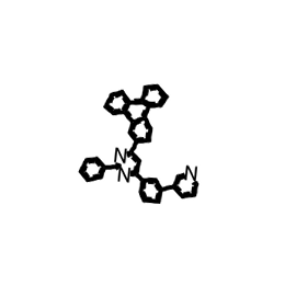 c1ccc(-c2nc(-c3cccc(-c4cccnc4)c3)cc(-c3ccc4c5ccccc5c5ccccc5c4c3)n2)cc1